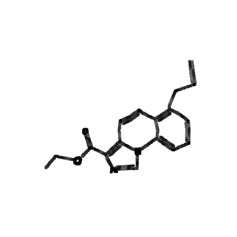 C=CCc1cccc2c1ccc1c(C(=O)OCC)ncn12